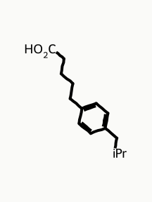 CC(C)Cc1ccc(CCCCC(=O)O)cc1